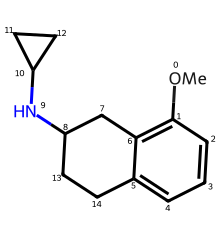 COc1cccc2c1CC(NC1CC1)CC2